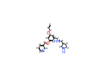 C=CCOc1cc(CNCC2CCNC2)cc(OCc2cccnc2)c1